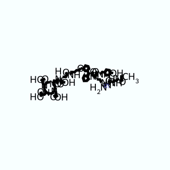 CCC(=O)NCCNC(=O)/N=C(/N)NCCC[C@@H](NC(=O)[C@H](c1ccccc1)c1cccc(OCCCCNC(=O)CC[C@@H](NC(=O)CN2CCN(CC(=O)O)CCN(CC(=O)O)CCN(CC(=O)O)CC2)C(=O)O)c1)C(=O)NCc1ccc(O)cc1